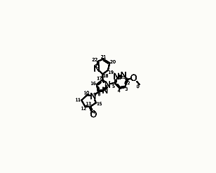 COc1ccc(-n2nc(N3CCCC(=O)C3)cc2C2CC=CC=N2)nn1